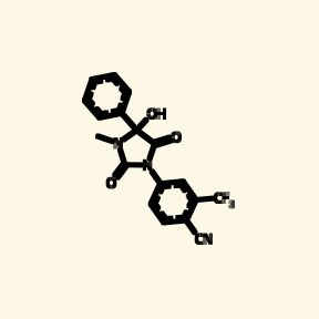 CN1C(=O)N(c2ccc(C#N)c(C(F)(F)F)c2)C(=O)C1(O)c1ccccc1